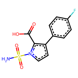 NS(=O)(=O)n1ccc(-c2ccc(F)cc2)c1C(=O)O